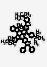 CC(C)(C)c1ccc(N2B3c4cc5sc(-c6ccccc6)c(-c6ccccc6)c5cc4-n4c5ccc(C(C)(C)C)cc5c5c6c(c(c3c54)-c3cc4c(cc32)sc2ccc(C(C)(C)C)cc24)C(C)(C)c2ccccc2-6)cc1